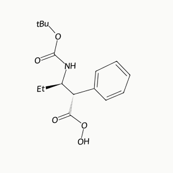 CC[C@@H](NC(=O)OC(C)(C)C)[C@@H](C(=O)OO)c1ccccc1